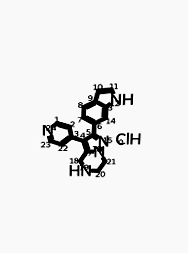 Cl.c1cc(-c2c(-c3ccc4cc[nH]c4c3)nn3c2CNCC3)ccn1